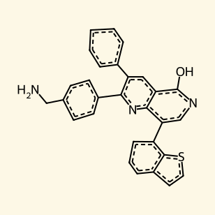 NCc1ccc(-c2nc3c(-c4cccc5ccsc45)cnc(O)c3cc2-c2ccccc2)cc1